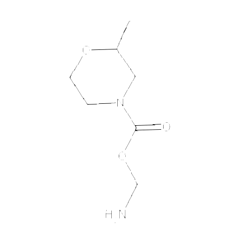 CC1CN(C(=O)OCN)CCO1